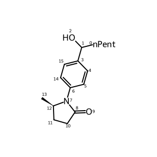 CCCCCC(O)c1ccc(N2C(=O)CC[C@H]2C)cc1